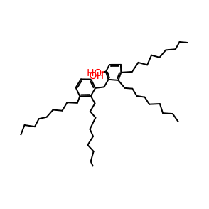 CCCCCCCCCc1ccc(O)c(Cc2c(O)ccc(CCCCCCCCC)c2CCCCCCCCC)c1CCCCCCCCC